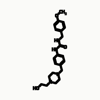 COc1ccc(CNC(=O)Nc2ccc(CN3CCN(CCO)CC3)cc2)cc1